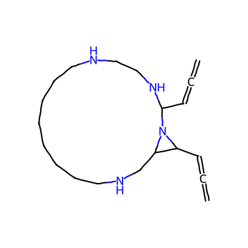 C=C=CC1NCCNCCCCCCCCNCC2C(C=C=C)N12